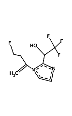 C=C(CCF)n1ccnc1C(O)C(F)(F)F